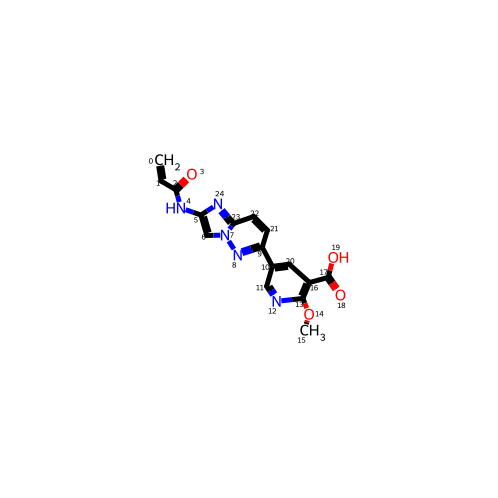 C=CC(=O)Nc1cn2nc(-c3cnc(OC)c(C(=O)O)c3)ccc2n1